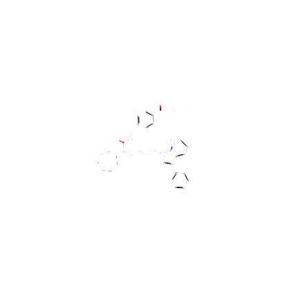 COC(=O)c1ccc(CNC(=O)C(CCCCn2cc(-c3ccccc3)c3cccnc32)C2CCCCCC2)cc1